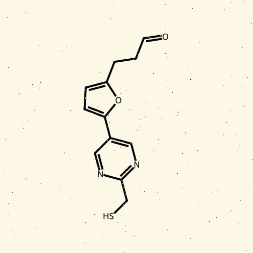 O=CCCc1ccc(-c2cnc(CS)nc2)o1